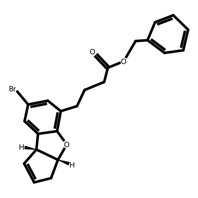 O=C(CCCc1cc(Br)cc2c1O[C@@H]1CC=C[C@H]21)OCc1ccccc1